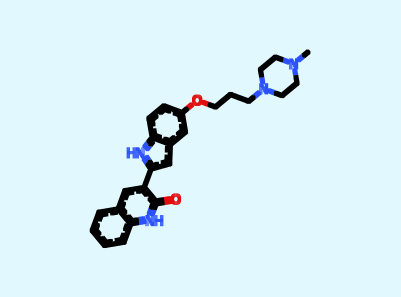 CN1CCN(CCCOc2ccc3[nH]c(-c4cc5ccccc5[nH]c4=O)cc3c2)CC1